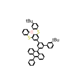 CC(C)(C)c1cccc(-c2cc(-c3cc4c5c(c3)Sc3ccc(C(C)(C)C)cc3B5c3ccccc3S4)cc(-c3c4ccccc4c(-c4ccccc4)c4ccccc34)c2)c1